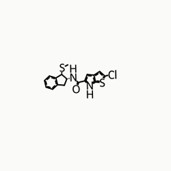 CS[C@@H]1c2ccccc2C[C@H]1NC(=O)c1cc2cc(Cl)sc2[nH]1